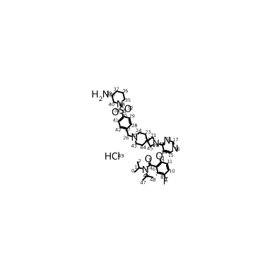 CC(C)N(C(=O)c1cc(F)ccc1Oc1cncnc1N1CC2(CCN(Cc3ccc(S(=O)(=O)N4CCC[C@@H](N)C4)cc3)CC2)C1)C(C)C.Cl